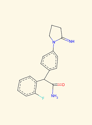 N=C1CCCN1c1ccc(C(C(N)=O)c2ccccc2F)cc1